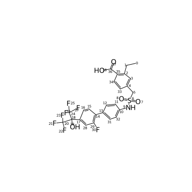 CCc1cc(CS(=O)(=O)Nc2ccc(-c3ccc(C(O)(C(F)(F)F)C(F)(F)F)cc3F)cc2)ccc1C(=O)O